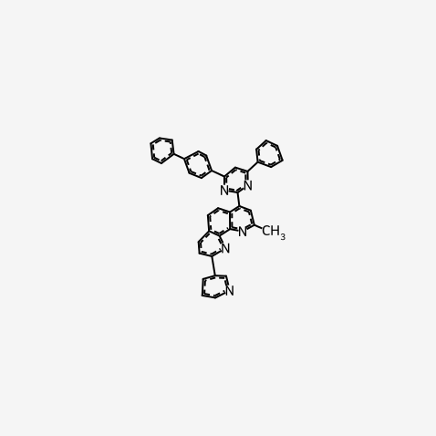 Cc1cc(-c2nc(-c3ccccc3)cc(-c3ccc(-c4ccccc4)cc3)n2)c2ccc3ccc(-c4cccnc4)nc3c2n1